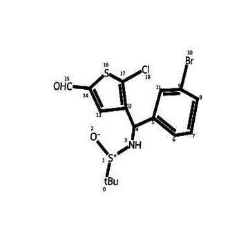 CC(C)(C)[S+]([O-])NC(c1cccc(Br)c1)c1cc(C=O)sc1Cl